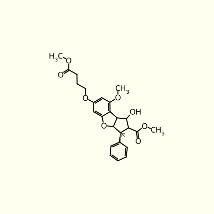 COC(=O)CCCOc1cc(OC)c2c(c1)OC1C2C(O)C(C(=O)OC)[C@H]1c1ccccc1